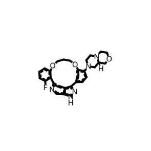 Fc1cccc2c1-c1cc3c(n[nH]c3cn1)-c1ccc(N3CCN4CCOC[C@@H]4C3)c(c1)OCCCO2